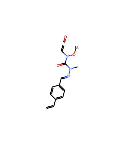 C=Cc1ccc(C=NN(C)C(=O)N(C=C=O)OCC)cc1